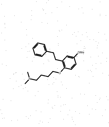 COc1ccc(OCCCCN(C)C)c(CCc2ccccc2)c1